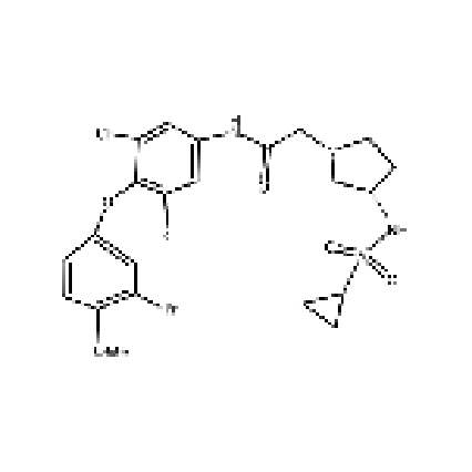 COc1ccc(Oc2c(Cl)cc(NC(=O)CN3CC[C@H](NS(=O)(=O)C4CC4)C3)cc2Cl)cc1C(C)C